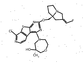 C[C@@]1(O)COCCN(c2nc(OC[C@@]34CCCN3C/C(=C\F)C4)nc3sc4c(Cl)nccc4c23)C1